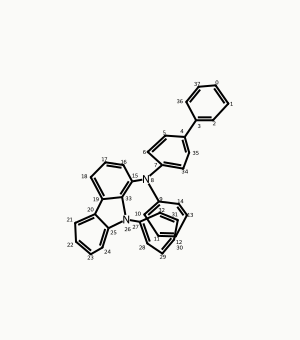 c1ccc(-c2ccc(N(c3ccccc3)c3cccc4c5ccccc5n(-c5ccccc5)c34)cc2)cc1